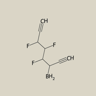 BC(C#C)C(F)C(F)C(F)C#C